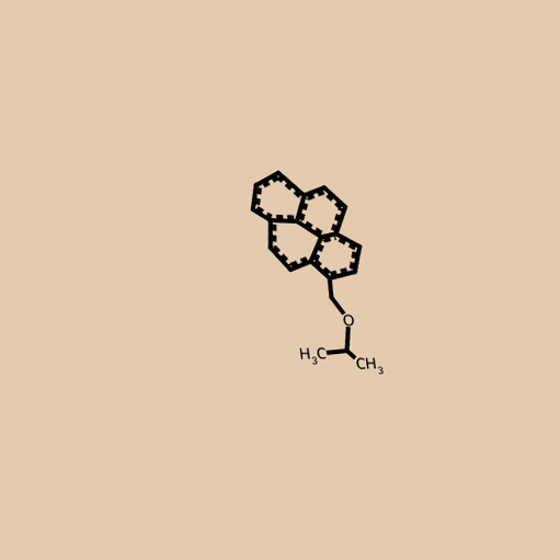 CC(C)OCc1ccc2ccc3cccc4ccc1c2c34